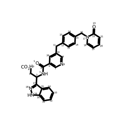 O=C(O)CC(NC(=O)c1cncc(Cc2ccc(Cn3ccccc3=O)cc2)c1)c1n[nH]c2ccccc12